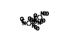 O=C=NC1CCC(C(CC(N=C=O)(N=C=O)C2CCC(N=C=O)CC2)(N=C=O)N=C=O)CC1